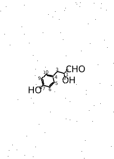 O=C[C@@H](O)Cc1ccc(O)cc1